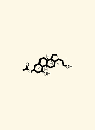 CC(=O)OC1CC2=CC[C@H]3[C@@H]4CC[C@H]([C@H](C)CO)[C@@]4(C)CC[C@@H]3[C@@]2(C)C(O)C1